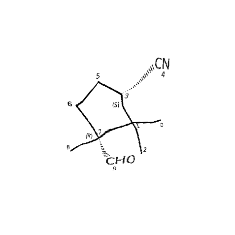 CC1(C)[C@@H](C#N)CC[C@@]1(C)C=O